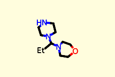 CCC(N1CCNCC1)N1CCOCC1